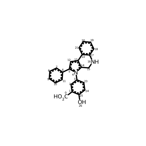 O=C(O)c1cc(-n2c(-c3ccccc3)cc3c2CNc2ccccc2-3)ccc1O